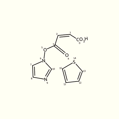 O=C(O)/C=C\C(=O)On1ccnc1.c1ccsc1